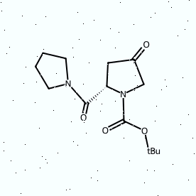 CC(C)(C)OC(=O)N1CC(=O)C[C@H]1C(=O)N1CCCC1